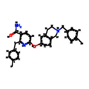 Cc1ccc(Cc2nc(Oc3ccc4c(c3)CCN(Cc3ccc(C)cc3)C4)ccc2C(N)=O)cc1